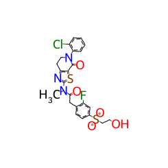 CN(C(=O)Cc1ccc(S(=O)(=O)CCO)cc1F)c1nc2c(s1)C(=O)N(c1ccccc1Cl)CC2